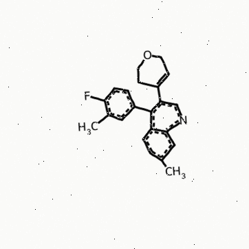 Cc1ccc2c(-c3ccc(F)c(C)c3)c(C3=CCOCC3)cnc2c1